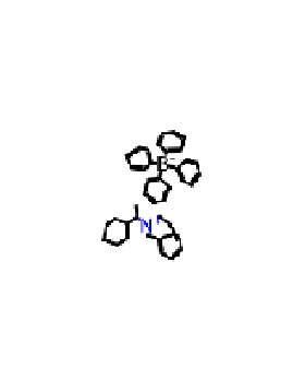 CC(C1CCCCC1)[N+]1=Cc2ccccc2CC1.c1ccc([B-](c2ccccc2)(c2ccccc2)c2ccccc2)cc1